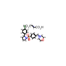 O=C(O)/C=C/C(=O)O.O=S(=O)(c1ccc(CN2CCOCC2)cc1)N1CCCC1c1ccc(F)cc1